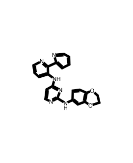 c1ccc(-c2ncccc2Nc2ccnc(Nc3ccc4c(c3)OCCO4)n2)nc1